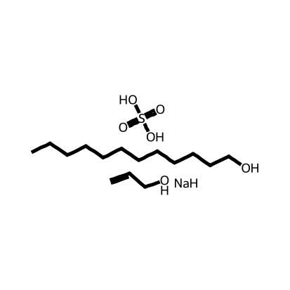 C=CCO.CCCCCCCCCCCCO.O=S(=O)(O)O.[NaH]